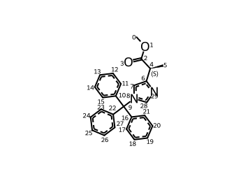 COC(=O)[C@@H](C)c1cn(C(c2ccccc2)(c2ccccc2)c2ccccc2)cn1